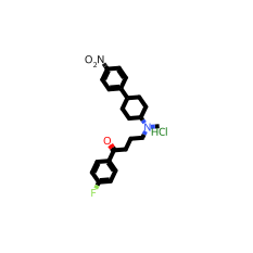 CN(CCCC(=O)c1ccc(F)cc1)C1CCC(c2ccc([N+](=O)[O-])cc2)CC1.Cl